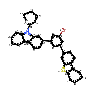 Brc1cc(-c2ccc3c(c2)sc2ccccc23)cc(-c2ccc3c4ccccc4n(-c4ccccc4)c3c2)c1